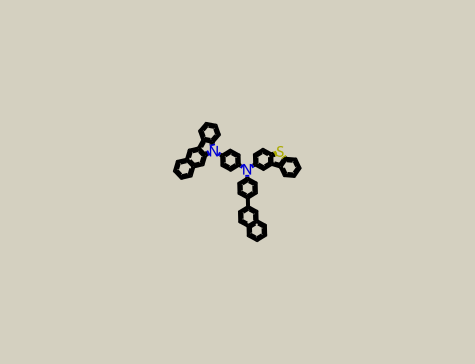 c1ccc2cc(-c3ccc(N(c4ccc(-n5c6ccccc6c6cc7ccccc7cc65)cc4)c4ccc5sc6ccccc6c5c4)cc3)ccc2c1